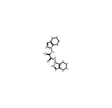 O=C(On1ncc2c1CCCC2)C(=O)On1ncc2c1CCCC2